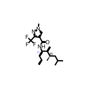 C=C/C=C(/NC(=O)c1cn(C)nc1C(F)(F)F)C(=C)[C@H](C)CC(C)C